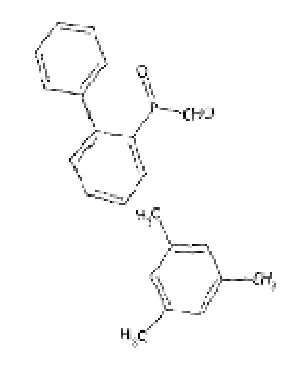 Cc1cc(C)cc(C)c1.O=C[P](=O)c1ccccc1-c1ccccc1